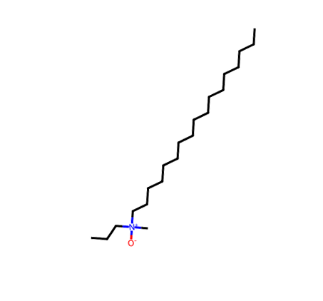 CCCCCCCCCCCCCCCCC[N+](C)([O-])CCC